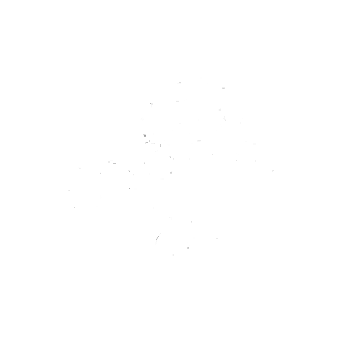 C=CCOC(=O)C(N1C(=O)[C@@H](N2C(=O)c3ccccc3C2=O)[C@H]1CC(=O)[C@H](C)O[Si](C)(C)C(C)(C)C)=P(c1ccccc1)(c1ccccc1)c1ccccc1